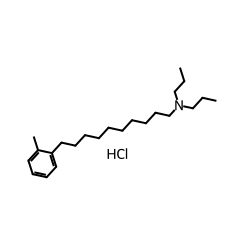 CCCN(CCC)CCCCCCCCCCc1ccccc1C.Cl